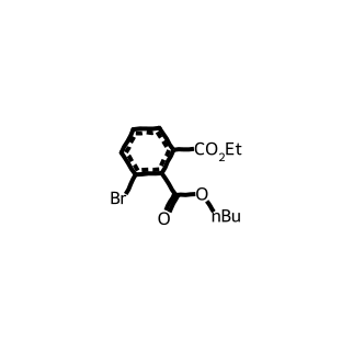 CCCCOC(=O)c1c(Br)cccc1C(=O)OCC